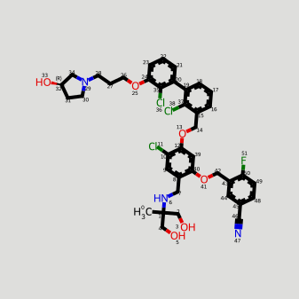 CC(CO)(CO)NCc1cc(Cl)c(OCc2cccc(-c3cccc(OCCCN4CC[C@@H](O)C4)c3Cl)c2Cl)cc1OCc1cc(C#N)ccc1F